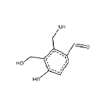 O=Cc1ccc(O)c(CO)c1CO